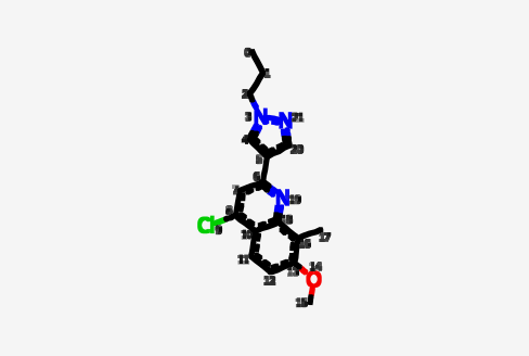 CCCn1cc(-c2cc(Cl)c3ccc(OC)c(C)c3n2)cn1